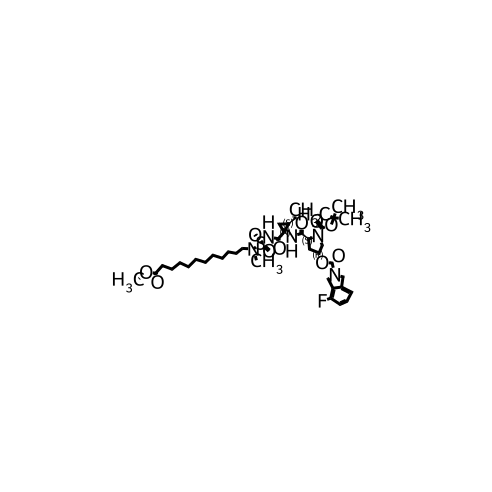 C=C[C@@H]1C[C@]1(NC(=O)[C@@H]1C[C@@H](OC(=O)N2Cc3cccc(F)c3C2)CN1C(=O)OC(C)(C)C)C(=O)NS(=O)(=O)N(C)CCCCCCCCCCCC(=O)OC